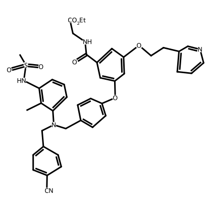 CCOC(=O)CNC(=O)c1cc(OCCc2cccnc2)cc(Oc2ccc(CN(Cc3ccc(C#N)cc3)c3cccc(NS(C)(=O)=O)c3C)cc2)c1